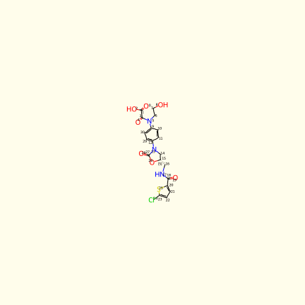 O=C(O)C(=O)N(CCO)c1ccc(N2C[C@H](CNC(=O)c3ccc(Cl)s3)OC2=O)cc1